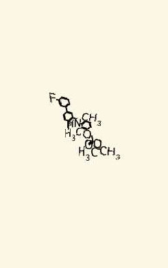 Cc1ccc(OCC(=O)OC(C)C)c(C)c1NCc1cc(-c2cccc(F)c2)ccc1F